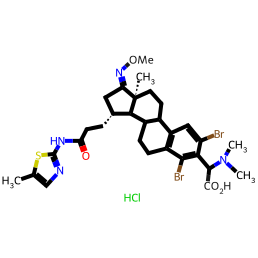 CO/N=C1/C[C@@H](CCC(=O)Nc2ncc(C)s2)C2C3CCc4c(cc(Br)c(C(C(=O)O)N(C)C)c4Br)C3CC[C@]12C.Cl